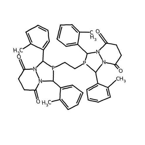 Cc1ccccc1C1N2C(=O)CCC(=O)N2C(c2ccccc2C)P1CCP1C(c2ccccc2C)N2C(=O)CCC(=O)N2C1c1ccccc1C